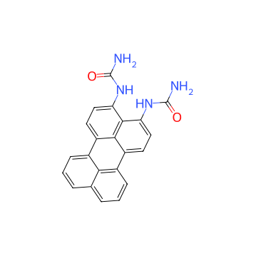 NC(=O)Nc1ccc2c3cccc4cccc(c5ccc(NC(N)=O)c1c25)c43